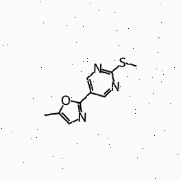 CSc1ncc(-c2ncc(C)o2)cn1